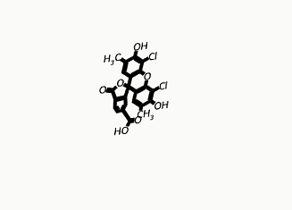 Cc1cc2c(c(Cl)c1O)Oc1c(cc(C)c(O)c1Cl)C21OC(=O)c2ccc(C(=O)O)cc21